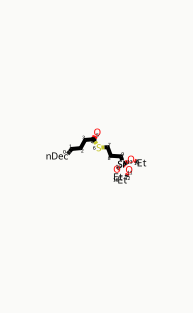 CCCCCCCCCCCCCC(=O)SCCC[Si](OCC)(OCC)OCC